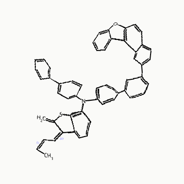 C=c1sc2c(N(c3ccc(-c4ccccc4)cc3)c3ccc(-c4cccc(-c5ccc6ccc7oc8ccccc8c7c6c5)c4)cc3)cccc2/c1=C/C=C\C